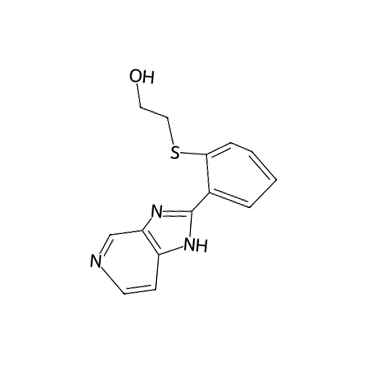 OCCSc1ccccc1-c1nc2cnccc2[nH]1